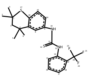 CC1(C)CC(C)(C)c2cc(NC(=S)Nc3ccccc3C(F)(F)F)ccc2S1